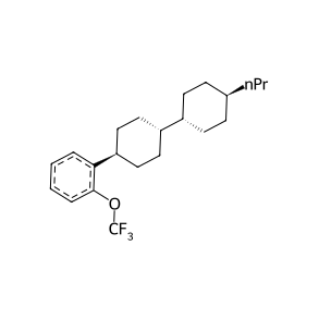 CCC[C@H]1CC[C@H]([C@H]2CC[C@H](c3ccccc3OC(F)(F)F)CC2)CC1